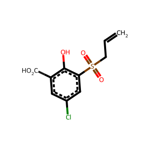 C=CCS(=O)(=O)c1cc(Cl)cc(C(=O)O)c1O